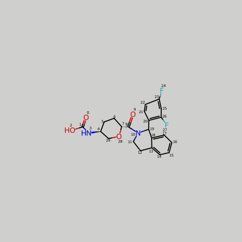 O=C(O)N[C@H]1CC[C@H](C(=O)N2CCc3ccccc3C2c2ccc(F)cc2F)OC1